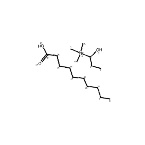 CCC(O)[N+](C)(C)C.CCCCCCCCCC(=O)O